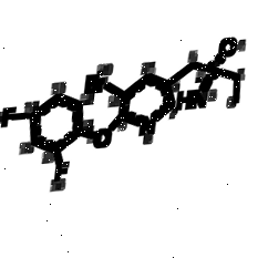 CCS(=N)(=O)Cc1cnc(Oc2ccc(F)cc2F)c(Br)c1